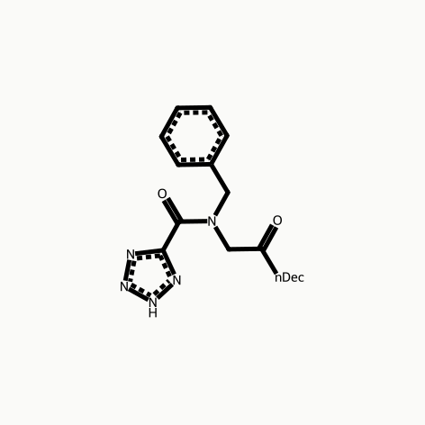 CCCCCCCCCCC(=O)CN(Cc1ccccc1)C(=O)c1nn[nH]n1